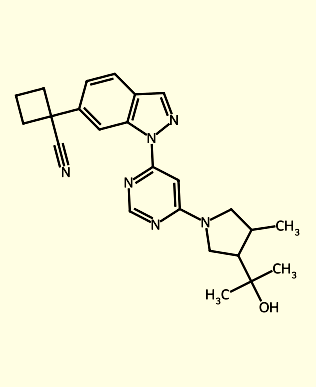 CC1CN(c2cc(-n3ncc4ccc(C5(C#N)CCC5)cc43)ncn2)CC1C(C)(C)O